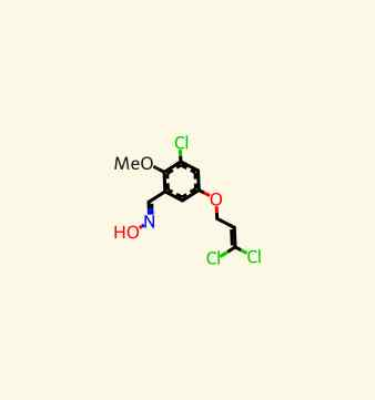 COc1c(Cl)cc(OCC=C(Cl)Cl)cc1/C=N/O